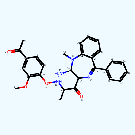 COc1cc(C(C)=O)ccc1ONC(C)C(=O)C1N=C(c2ccccc2)c2ccccc2N(C)[C@@H]1N